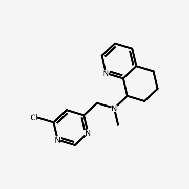 CN(Cc1cc(Cl)ncn1)C1CCCc2cccnc21